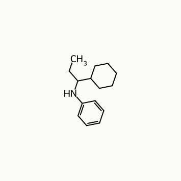 CCC(Nc1ccccc1)C1CCCCC1